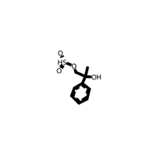 CC(O)(CO[SH](=O)=O)c1ccccc1